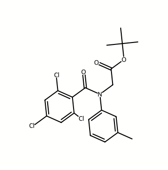 Cc1cccc(N(CC(=O)OC(C)(C)C)C(=O)c2c(Cl)cc(Cl)cc2Cl)c1